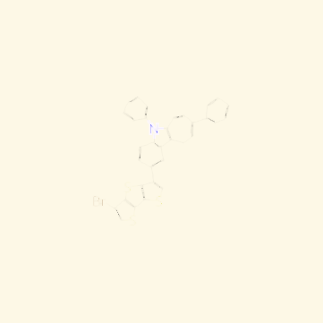 Brc1csc2c1sc1c(-c3ccc4c(c3)c3c(n4-c4ccccc4)C=CC(c4ccccc4)=CC3)csc12